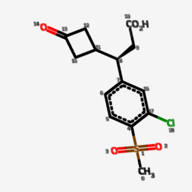 CS(=O)(=O)c1ccc([C@H](CC(=O)O)C2CC(=O)C2)cc1Cl